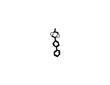 CC1COC(c2ccc(-c3ccccc3)cc2)CO1